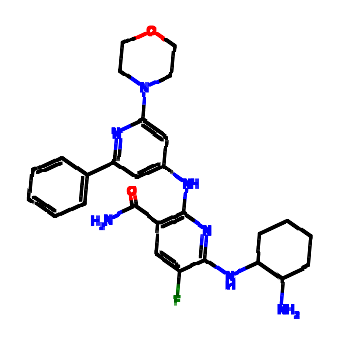 NC(=O)c1cc(F)c(NC2CCCCC2N)nc1Nc1cc(-c2ccccc2)nc(N2CCOCC2)c1